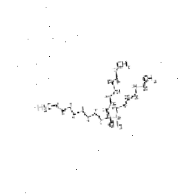 CCCCCCCCCC(C)(CCCCCCCC)CCCCCCCC